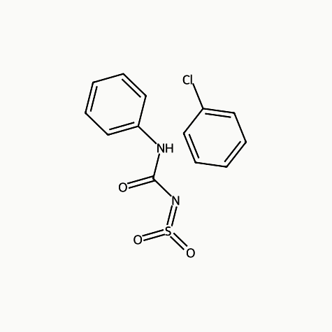 Clc1ccccc1.O=C(N=S(=O)=O)Nc1ccccc1